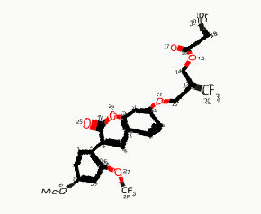 COc1ccc(-c2cc3ccc(OCC(COC(=O)CC(C)C)C(F)(F)F)cc3oc2=O)c(OC(F)(F)F)c1